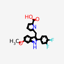 COc1ccc2c(Cc3cccc(C(=O)O)n3)c(-c3ccc(F)c(F)c3)[nH]c2c1